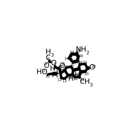 CC(=O)OCC(=O)[C@@]1(C#CCO)CC[C@H]2[C@@H]3CC(C)C4=CC(=O)CCC4=C3[C@@H](c3ccc(N)cc3)C[C@@]21C